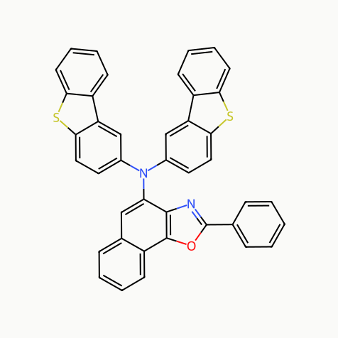 c1ccc(-c2nc3c(N(c4ccc5sc6ccccc6c5c4)c4ccc5sc6ccccc6c5c4)cc4ccccc4c3o2)cc1